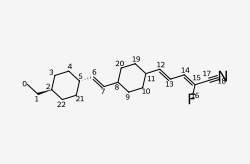 CC[C@H]1CC[C@H](C=CC2CCC(C=CC=C(F)C#N)CC2)CC1